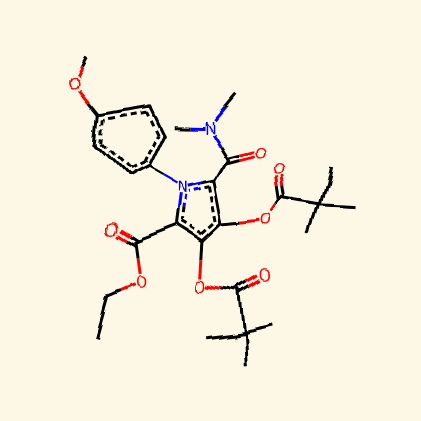 CCOC(=O)c1c(OC(=O)C(C)(C)C)c(OC(=O)C(C)(C)C)c(C(=O)N(C)C)n1-c1ccc(OC)cc1